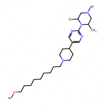 CCC1CN(C(C)C)CC(C)N1c1ncc(C2CCN(CCCCCCCCCOC(C)C)CC2)cn1